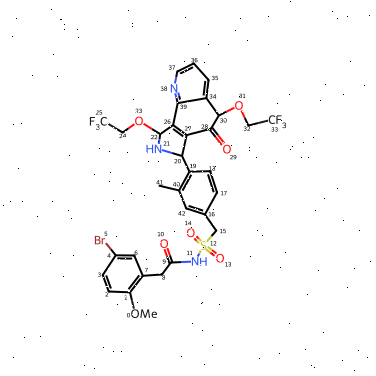 COc1ccc(Br)cc1CC(=O)NS(=O)(=O)Cc1ccc(C2NC(OCC(F)(F)F)C3=C2C(=O)C(OCC(F)(F)F)c2cccnc23)c(C)c1